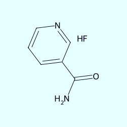 F.NC(=O)c1cccnc1